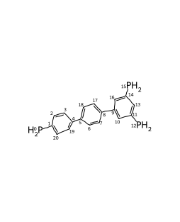 Pc1ccc(-c2ccc(-c3cc(P)cc(P)c3)cc2)cc1